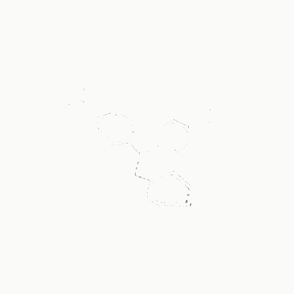 CN(C)c1ccc(P(Cc2ccccc2)c2ccc(N(C)C)cc2)cc1